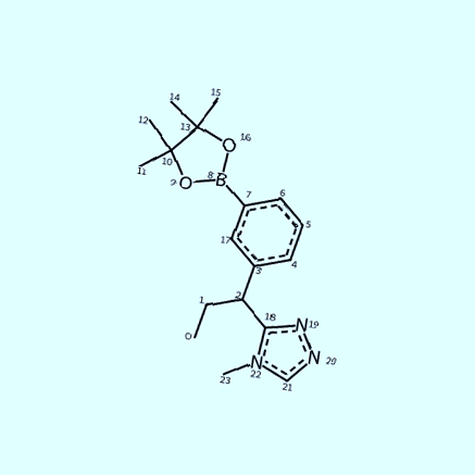 CCC(c1cccc(B2OC(C)(C)C(C)(C)O2)c1)c1nncn1C